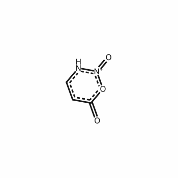 O=c1cc[nH][n+](=O)o1